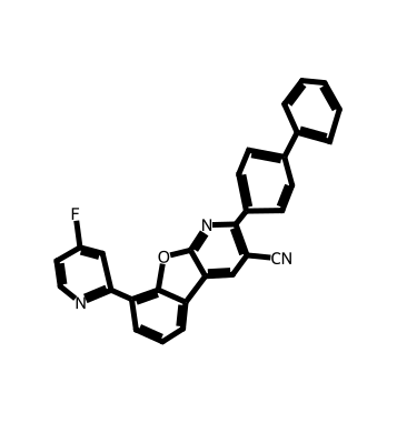 N#Cc1cc2c(nc1-c1ccc(-c3ccccc3)cc1)oc1c(-c3cc(F)ccn3)cccc12